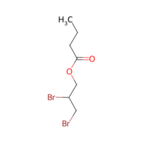 CCCC(=O)OCC(Br)CBr